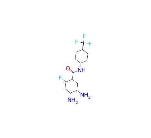 NC1CC(F)C(C(=O)N[C@H]2CC[C@H](C(F)(F)F)CC2)CC1N